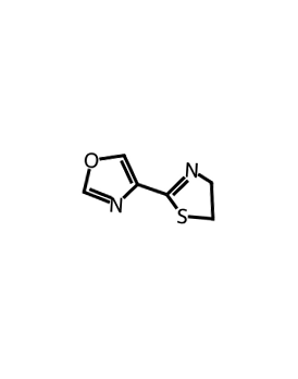 c1nc(C2=NCCS2)co1